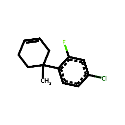 CC1(c2ccc(Cl)cc2F)CC=CCC1